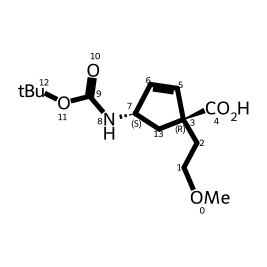 COCC[C@@]1(C(=O)O)C=C[C@@H](NC(=O)OC(C)(C)C)C1